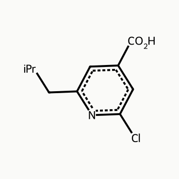 CC(C)Cc1cc(C(=O)O)cc(Cl)n1